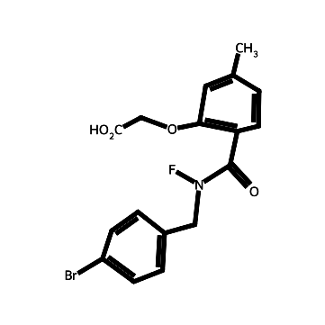 Cc1ccc(C(=O)N(F)Cc2ccc(Br)cc2)c(OCC(=O)O)c1